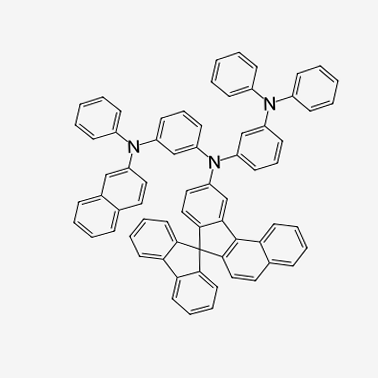 c1ccc(N(c2ccccc2)c2cccc(N(c3cccc(N(c4ccccc4)c4ccc5ccccc5c4)c3)c3ccc4c(c3)-c3c(ccc5ccccc35)C43c4ccccc4-c4ccccc43)c2)cc1